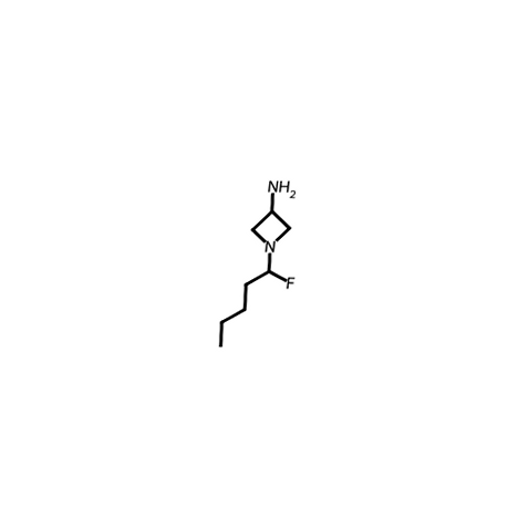 CCCCC(F)N1CC(N)C1